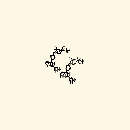 Cn1cc(-c2cn3nccc3c(-c3ccc(CN4CCN(C(=O)OC(C)(C)C)CC4=O)cc3)n2)cn1.Cn1cc(-c2cn3nccc3c(-c3ccc(CN4CCN(C(=O)OC(C)(C)C)CC4=O)cc3)n2)cn1